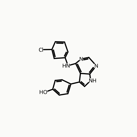 Oc1ccc(-c2c[nH]c3ncnc(Nc4cccc(Cl)c4)c23)cc1